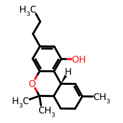 CCCc1cc(O)c2c(c1)OC(C)(C)C1CCC(C)=C[C@@H]21